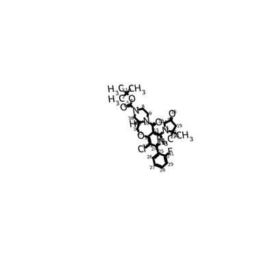 CC(C)(C)OC(=O)N1CCN2C(=O)c3c(N4CC(=O)CC4(C)C)nc(-c4ccccc4F)c(Cl)c3OC[C@H]2C1